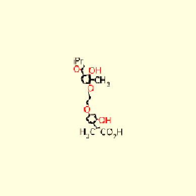 Cc1c(OCCCCOc2ccc(C(C)CC(=O)O)c(O)c2)ccc(C(=O)CC(C)C)c1O